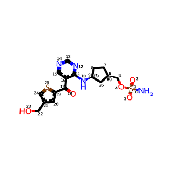 NS(=O)(=O)OC[C@@H]1CC[C@H](Nc2ncncc2C(=O)c2cc(CO)cs2)C1